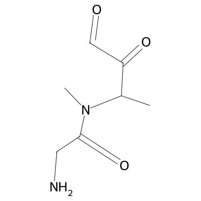 CC(C(=O)C=O)N(C)C(=O)CN